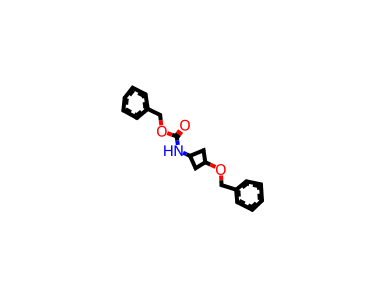 O=C(NC1CC(OCc2ccccc2)C1)OCc1ccccc1